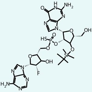 CC(C)(C)[Si](C)(C)OC1[C@@H](CO)O[C@@H](n2cnc3c(=O)[nH]c(N)nc32)[C@H]1OP(=O)(S)OC[C@H]1O[C@@H](n2cnc3c(N)ncnc32)[C@@H](F)C1O